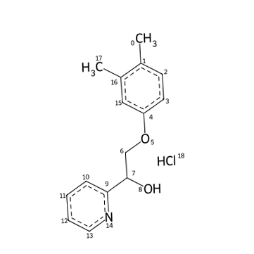 Cc1ccc(OCC(O)c2ccccn2)cc1C.Cl